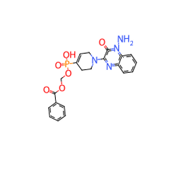 Nn1c(=O)c(N2CC=C(P(=O)(O)OCOC(=O)c3ccccc3)CC2)nc2ccccc21